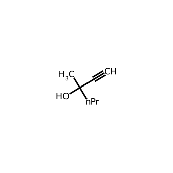 C#CC(C)(O)CCC